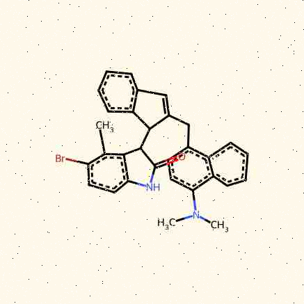 Cc1c(Br)ccc2c1C(C1C(Cc3ccc(N(C)C)c4ccccc34)=Cc3ccccc31)C(=O)N2